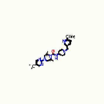 COc1ccc(CN2CCC(NC(=O)N3[C@H](C)CN(c4ncc(C(F)(F)F)cn4)C[C@@H]3C)CC2)cn1